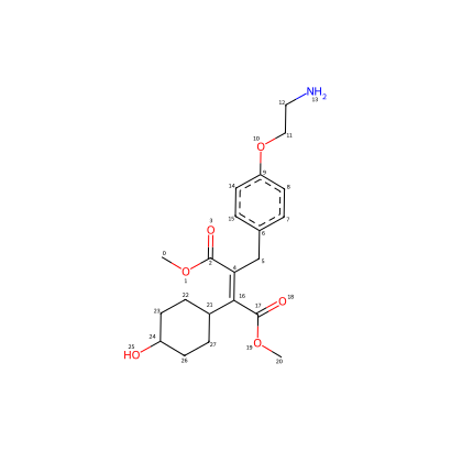 COC(=O)C(Cc1ccc(OCCN)cc1)=C(C(=O)OC)C1CCC(O)CC1